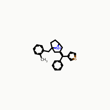 Cc1ccccc1CC12CCC(CC(=C(c3ccccc3)c3ccsc3)C1)N2